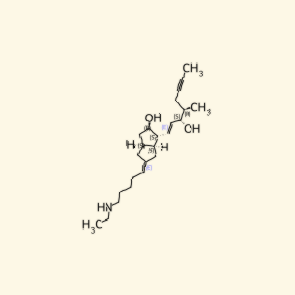 CC#CC[C@@H](C)[C@H](O)/C=C/[C@@H]1[C@H]2C/C(=C/CCCCNCC)C[C@H]2C[C@H]1O